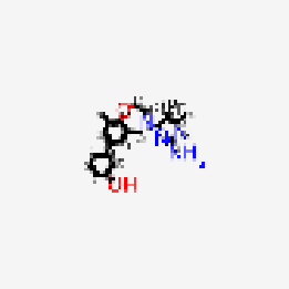 Cc1cc(-c2cccc(O)c2)cc2c1OCCN(c1nc(N)nc(C)c1C(C)C)C2